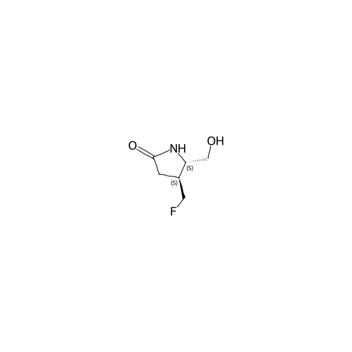 O=C1C[C@H](CF)[C@@H](CO)N1